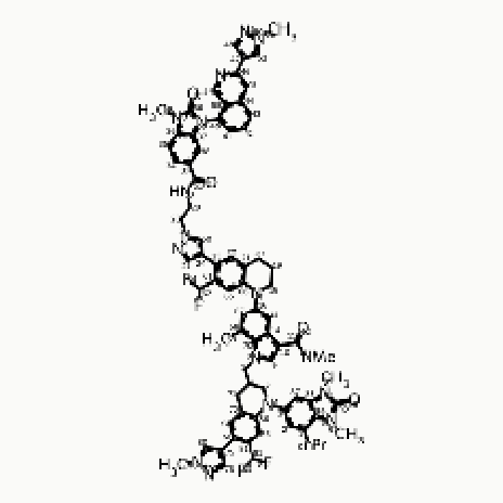 CCCc1cc(N2CC(Cn3cc(C(=O)NC)c4cc(N5CCCc6cc(-c7cnn(CCNC(=O)c8ccc9c(c8)n(-c8cccc%10cc(-c%11cnn(C)c%11)ncc8%10)c(=O)n9C)c7)c(C(F)F)cc65)cc(C)c43)Cc3cc(-c4cnn(C)c4)c(C(F)F)cc32)cc2c1n(C)c(=O)n2C